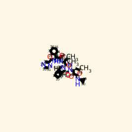 CCC[C@H](NC(=O)[C@@H]1[C@H]2C3C=CC(C3)[C@H]2CN1C(=O)[C@@H](NC(=O)[C@@H](NC(=O)c1cnccn1)C1CCCCC1)C(C)(C)C)C(=O)C(=O)NC1CC1